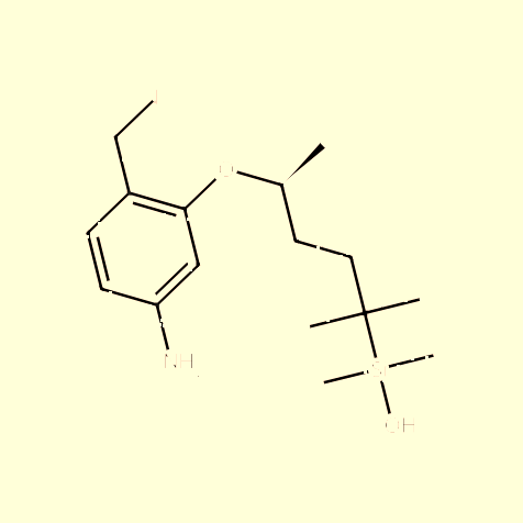 C[C@@H](CCC(C)(C)[Si](C)(C)O)Oc1cc(N)ccc1CI